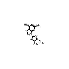 CC(=O)OC[C@H]1O[C@@H](n2cnc3c(S)nc(N)nc32)C[C@@H]1OC(C)=O